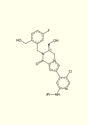 CC(C)Nc1cc(-c2cc3n(c2)C[C@H](CO)N(Cc2cc(F)ccc2CO)C3=O)c(Cl)cn1